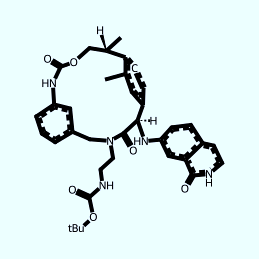 Cc1cc2ccc1[C@@H](C)COC(=O)Nc1cccc(c1)CN(CCNC(=O)OC(C)(C)C)C(=O)[C@@H]2Nc1ccc2cc[nH]c(=O)c2c1